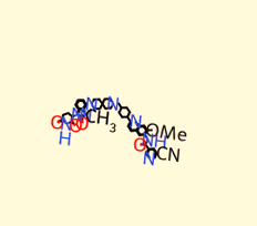 COc1cc2nc(C3CCC(CN4CCC5(CC4)CCN(c4cccc6c4n(C)c(=O)n6C4CCC(=O)NC4=O)CC5)CC3)ccc2cc1NC(=O)c1cncc(C#N)c1